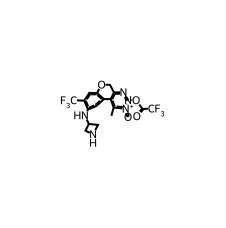 Cc1c2c(nn(OC(=O)C(F)(F)F)[n+]1=O)COc1cc(C(F)(F)F)c(NC3CNC3)cc1-2